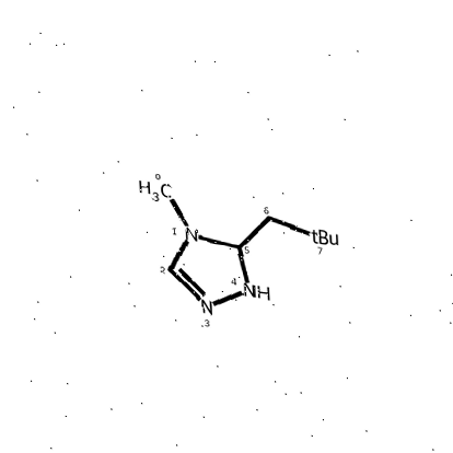 CN1C=NNC1CC(C)(C)C